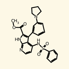 COC(=O)c1[nH]c2nccc(NS(=O)(=O)c3ccccc3)c2c1-c1cccc(N2CCCC2)c1